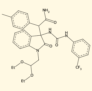 CCOC(CN1C(=O)C(NC(=O)Nc2cccc(C(F)(F)F)c2)(C(C(N)=O)c2ccc(C)cc2)c2ccccc21)OCC